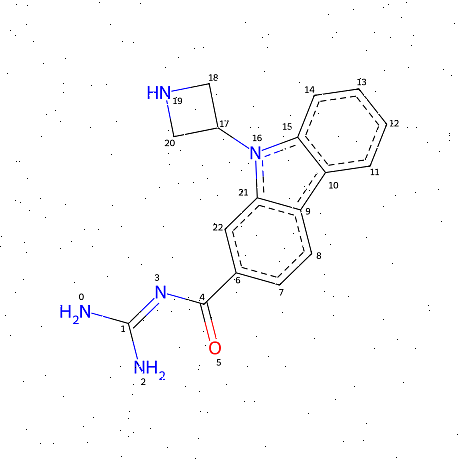 NC(N)=NC(=O)c1ccc2c3ccccc3n(C3CNC3)c2c1